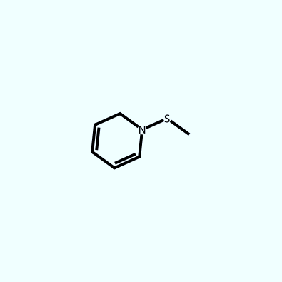 CSN1C=CC=CC1